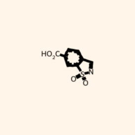 O=C(O)c1ccc2c(c1)S(=O)(=O)N=C2